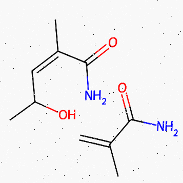 C=C(C)C(N)=O.CC(=CC(C)O)C(N)=O